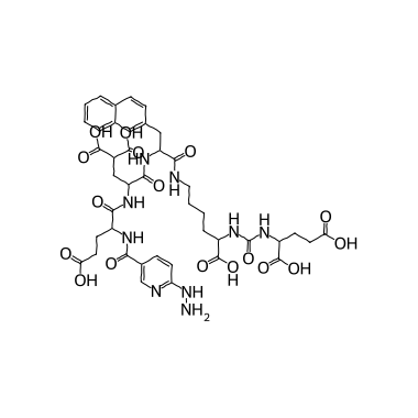 NNc1ccc(C(=O)NC(CCC(=O)O)C(=O)NC(CC(C(=O)O)C(=O)O)C(=O)NC(Cc2ccc3ccccc3c2)C(=O)NCCCCC(NC(=O)NC(CCC(=O)O)C(=O)O)C(=O)O)cn1